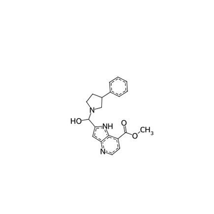 COC(=O)c1ccnc2cc(C(O)N3CCC(c4ccccc4)C3)[nH]c12